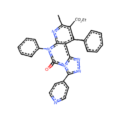 CCOC(=O)c1c(C)nc2c(c1-c1ccccc1)c1nnc(-c3ccncc3)n1c(=O)n2-c1ccccc1